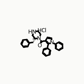 Cl.O=C(c1ccn(-c2ccccc2)c1-c1ccccc1)N1CCNC[C@H]1Cc1ccccc1